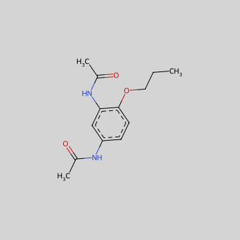 CCCOc1ccc(NC(C)=O)cc1NC(C)=O